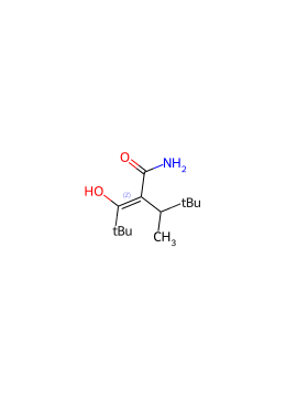 CC(/C(C(N)=O)=C(/O)C(C)(C)C)C(C)(C)C